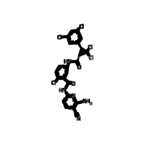 N#Cc1ccc(NC(=O)c2cc(NC(=O)[C@@H]3[C@@H](c4cc(Cl)cc(Cl)c4)C3(Cl)Cl)ccc2Cl)nc1N